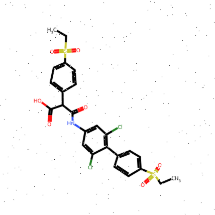 CCS(=O)(=O)c1ccc(-c2c(Cl)cc(NC(=O)C(C(=O)O)c3ccc(S(=O)(=O)CC)cc3)cc2Cl)cc1